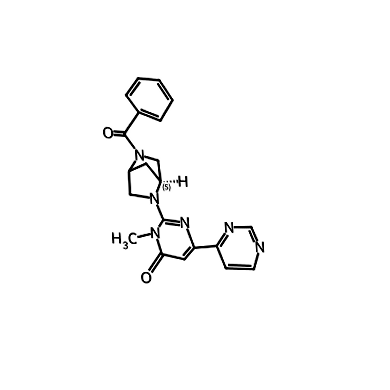 Cn1c(N2CC3C[C@H]2CN3C(=O)c2ccccc2)nc(-c2ccncn2)cc1=O